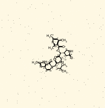 Cc1cc(C)c(C(=O)OCC(=O)[C@H](C[C@@H]2CCNC2=O)NC(=O)[C@H](CC(C)C)n2ccc3nc(C)[nH]c3c2=O)c(C)n1